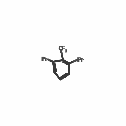 C[C](C)c1cccc(C(C)C)c1C(F)(F)F